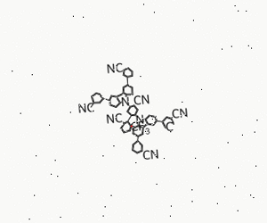 N#Cc1cccc(-c2ccc3c(c2)c2cc(-c4cccc(C#N)c4)ccc2n3-c2cc(-c3c(C#N)cccc3C(F)(F)F)c(-n3c4ccc(-c5cccc(C#N)c5)cc4c4cc(-c5cccc(C#N)c5)ccc43)cc2C#N)c1